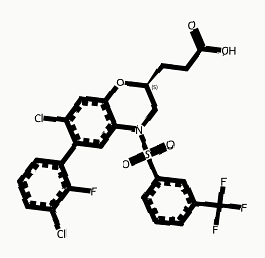 O=C(O)CC[C@H]1CN(S(=O)(=O)c2cccc(C(F)(F)F)c2)c2cc(-c3cccc(Cl)c3F)c(Cl)cc2O1